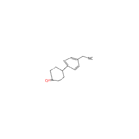 [C-]#[N+]Cc1ccc(C2CCC(=O)CC2)cc1